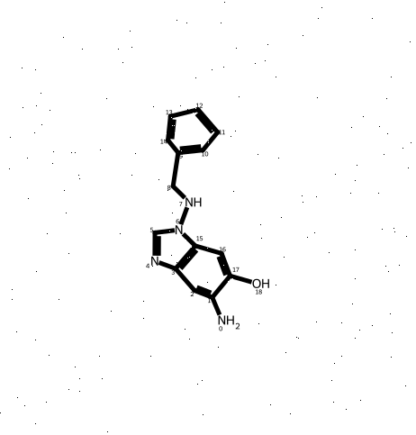 Nc1cc2ncn(NCc3ccccc3)c2cc1O